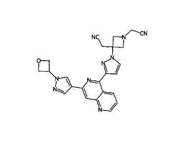 N#CCN1CC(CC#N)(n2ccc(-c3nc(-c4cnn(C5COC5)c4)cc4ncccc34)n2)C1